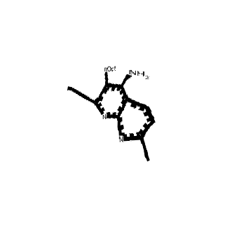 CCCCCCCCc1c(C)nc2nc(C)ccc2c1N